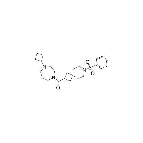 O=C(C1CC2(CCN(S(=O)(=O)c3ccccc3)CC2)C1)N1CCCN(C2CCC2)CC1